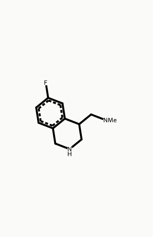 CNCC1CNCc2ccc(F)cc21